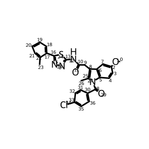 COc1ccc2c(c1)c(CC(=O)Nc1nnc(-c3ccccc3C)s1)c(C)n2C(=O)c1ccc(Cl)cc1